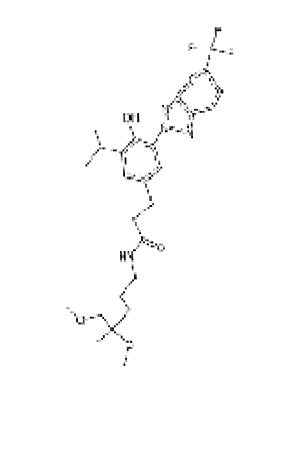 COCC(C)(CCCNC(=O)CCc1cc(C(C)C)c(O)c(-n2nc3ccc(C(F)(F)F)cc3n2)c1)OC